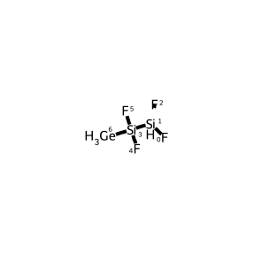 F[SiH](F)[Si](F)(F)[GeH3]